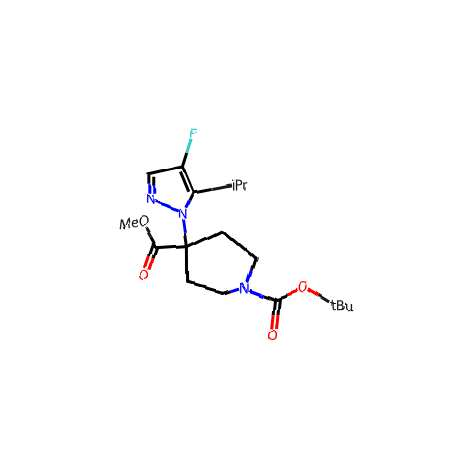 COC(=O)C1(n2ncc(F)c2C(C)C)CCN(C(=O)OC(C)(C)C)CC1